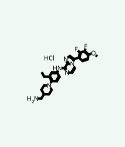 CCc1cc(Nc2nccn3c(-c4ccc(OC)c(F)c4F)cnc23)ccc1N1CCC(CN)CC1.Cl